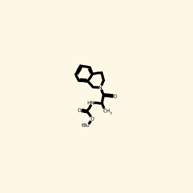 CC(NC(=O)OC(C)(C)C)C(=O)N1CCc2ccccc2C1